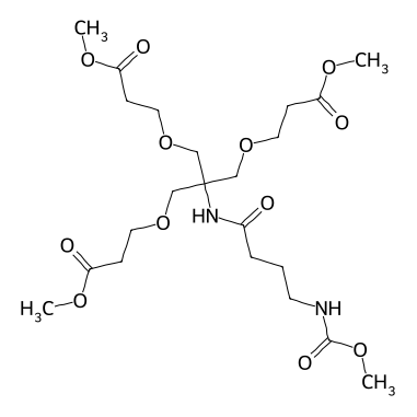 COC(=O)CCOCC(COCCC(=O)OC)(COCCC(=O)OC)NC(=O)CCCNC(=O)OC